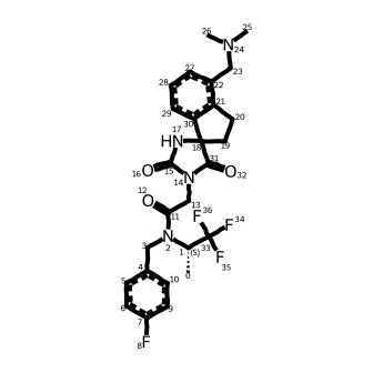 C[C@H](N(Cc1ccc(F)cc1)C(=O)CN1C(=O)NC2(CCc3c(CN(C)C)cccc32)C1=O)C(F)(F)F